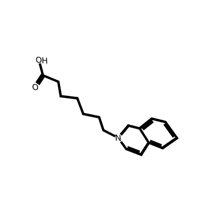 O=C(O)CCCCCCN1C=Cc2ccccc2C1